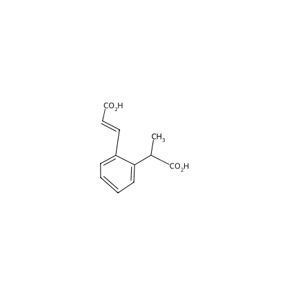 CC(C(=O)O)c1ccccc1C=CC(=O)O